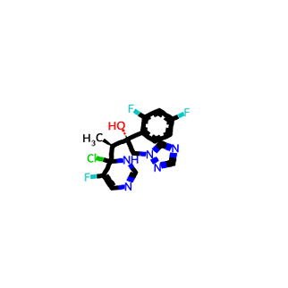 C[C@H](C1(Cl)NC=NC=C1F)[C@](O)(Cn1cncn1)c1ccc(F)cc1F